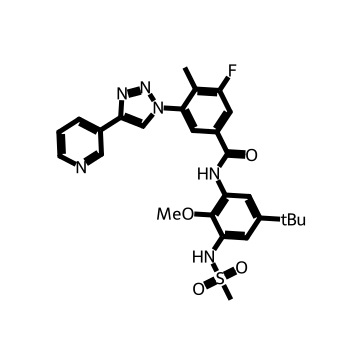 COc1c(NC(=O)c2cc(F)c(C)c(-n3cc(-c4cccnc4)nn3)c2)cc(C(C)(C)C)cc1NS(C)(=O)=O